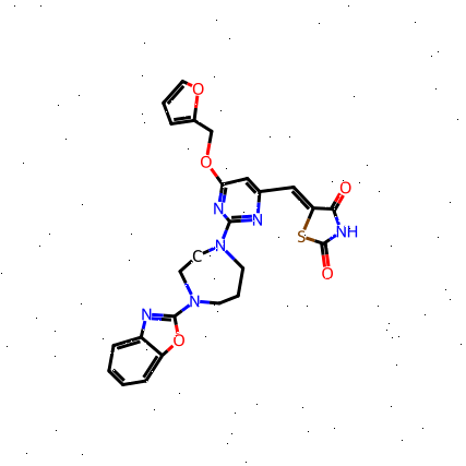 O=C1NC(=O)C(=Cc2cc(OCc3ccco3)nc(N3CCCN(c4nc5ccccc5o4)CC3)n2)S1